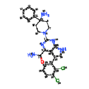 NC(=O)c1nc(N2CCC(N)(c3ccccc3)CC2)nc2[nH]cc(-c3cccc(Cl)c3Cl)c12